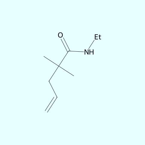 C=CCC(C)(C)C(=O)NCC